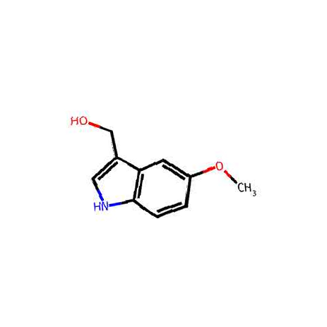 COc1ccc2[nH]cc(CO)c2c1